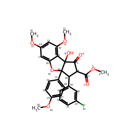 COC(=O)C1C(=O)C2(O)c3c(OC)cc(OC)cc3OC2(c2ccc(OC)cc2)C1c1cccc(F)c1